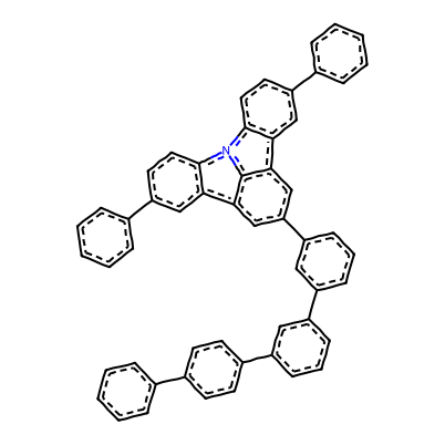 c1ccc(-c2ccc(-c3cccc(-c4cccc(-c5cc6c7cc(-c8ccccc8)ccc7n7c8ccc(-c9ccccc9)cc8c(c5)c67)c4)c3)cc2)cc1